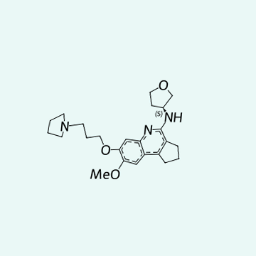 COc1cc2c3c(c(N[C@H]4CCOC4)nc2cc1OCCCN1CCCC1)CCC3